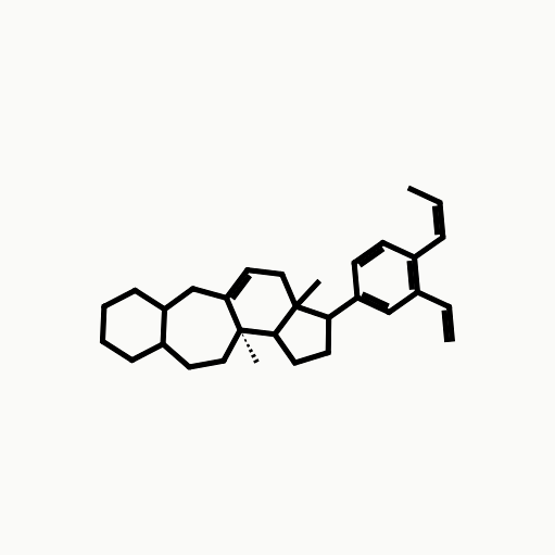 C=Cc1cc(C2CCC3C2(C)CC=C2CC4CCCCC4CC[C@@]23C)ccc1/C=C\C